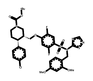 COc1ccc(CN(c2ncns2)S(=O)(=O)c2cc(F)c(OC[C@H]3CN(C(=O)OC(C)(C)C)CC[C@H]3c3ccc(Cl)cc3)cc2F)c(OC)c1